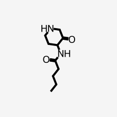 CCCCC(=O)NC1CCNCC1=O